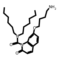 CCCCCCN(CCCCCC)C(=O)n1c(=O)ccc2ccc(OCCCCN)cc21